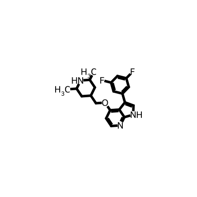 CC1CC(COc2ccnc3[nH]cc(-c4cc(F)cc(F)c4)c23)CC(C)N1